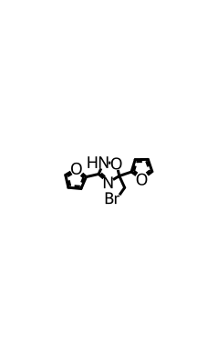 BrCC1(c2ccco2)N=C(c2ccco2)NO1